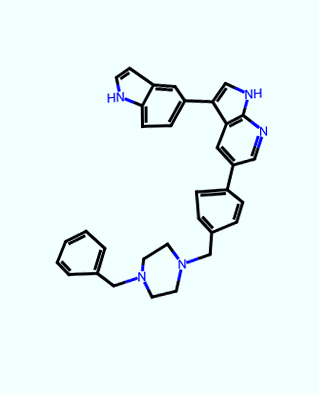 c1ccc(CN2CCN(Cc3ccc(-c4cnc5[nH]cc(-c6ccc7[nH]ccc7c6)c5c4)cc3)CC2)cc1